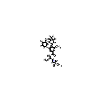 Cc1nc(C(=O)N[C@H](C)/C=C/S(C)(=O)=O)ncc1N1C[C@@H]2[C@H]([C@H]1c1cccc(F)c1Cl)C2(F)F